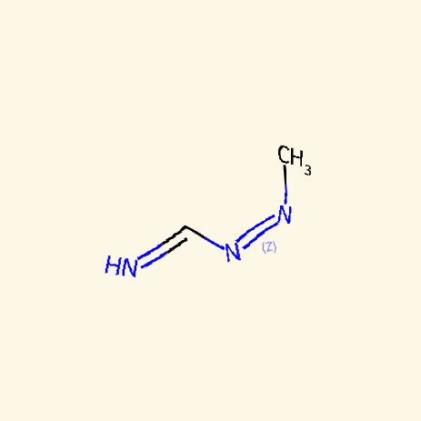 C/N=N\C=N